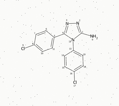 Nc1nnc(-c2ccc(Cl)cc2)n1-c1ccc(Cl)cc1